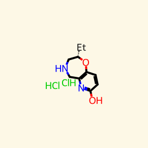 CC[C@H]1CNCc2nc(O)ccc2O1.Cl.Cl